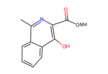 COC(=O)c1nc(C)c2ccccc2c1O